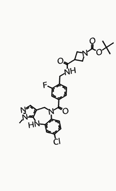 Cn1ncc2c1Nc1cc(Cl)ccc1N(C(=O)c1ccc(CNC(=O)C3CN(C(=O)OC(C)(C)C)C3)c(F)c1)C2